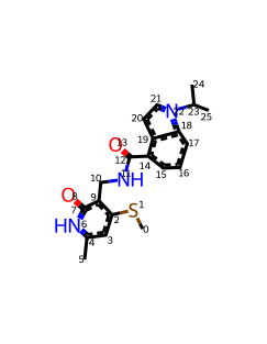 CSc1cc(C)[nH]c(=O)c1CNC(=O)c1cccc2c1ccn2C(C)C